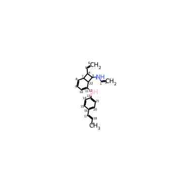 C=CNC1C(C=C)C2C=CC=C(Bc3ccc(/C=C/C)cc3)C21